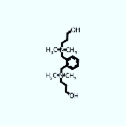 C[N+](C)(CCCO)Cc1ccccc1C[N+](C)(C)CCCO